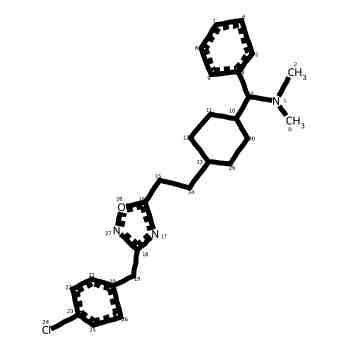 CN(C)C(c1ccccc1)C1CCC(CCc2nc(Cc3ccc(Cl)cc3)no2)CC1